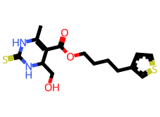 CC1=C(C(=O)OCCCCc2ccsc2)C(CO)NC(=S)N1